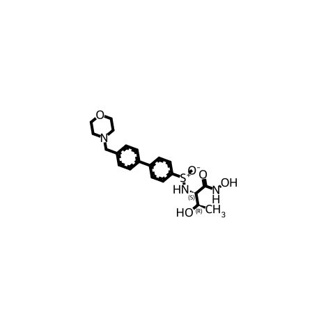 C[C@@H](O)[C@H](N[S+]([O-])c1ccc(-c2ccc(CN3CCOCC3)cc2)cc1)C(=O)NO